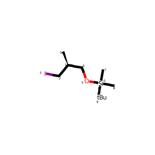 C[C@H](CI)CO[Si](C)(C)C(C)(C)C